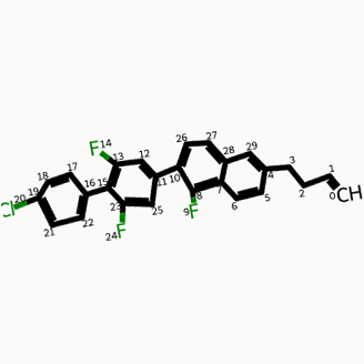 C=CCCc1ccc2c(F)c(-c3cc(F)c(-c4ccc(Cl)cc4)c(F)c3)ccc2c1